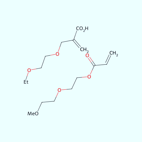 C=C(COCCOCC)C(=O)O.C=CC(=O)OCCOCCOC